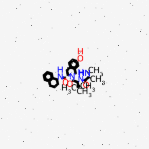 CN[C@@H](C)C(=O)N[C@H](C(=O)N1Cc2cc(O)ccc2C[C@H]1C(=O)N[C@@H]1CCCc2ccccc21)C(C)(C)C